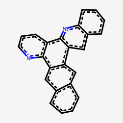 c1ccc2cc3c(cc2c1)c1cc2ccccc2nc1c1cccnc31